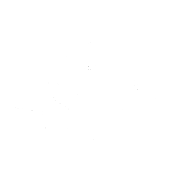 C=C1C=CC(c2cccc(S)c2)=CC1S.CCCCCCCCOC(=O)c1ccccc1C(=O)OCCCCCCCC